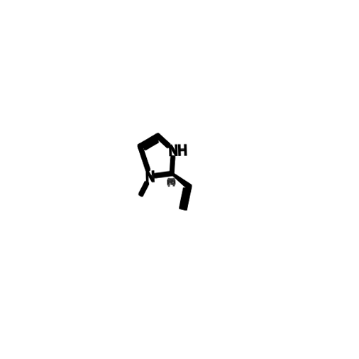 C=C[C@@H]1NC=CN1C